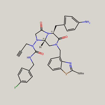 C#CCN(C(=O)NCc1ccc(F)cc1)N1CC(=O)N2[C@@H](Cc3ccc(N)cc3)C(=O)N(Cc3cccc4sc(NC)nc34)C[C@@H]21